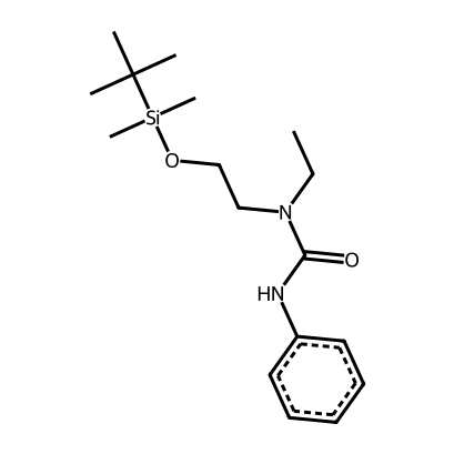 CCN(CCO[Si](C)(C)C(C)(C)C)C(=O)Nc1ccccc1